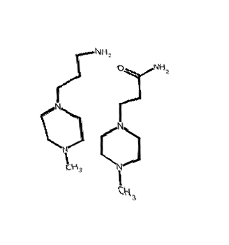 CN1CCN(CCC(N)=O)CC1.CN1CCN(CCCN)CC1